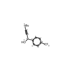 CCCCC#CC(O)c1ccc(C(F)(F)F)cc1